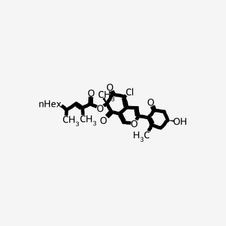 CCCCCCC(C)/C=C(\C)C(=O)O[C@@]1(C)C(=O)C2=COC(C3=C(C)C[C@@H](O)CC3=O)=CC2=C(Cl)C1=O